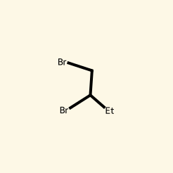 [C]CC(Br)CBr